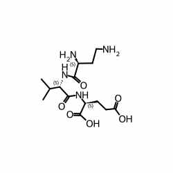 CC(C)[C@H](NC(=O)[C@@H](N)CCN)C(=O)N[C@@H](CCC(=O)O)C(=O)O